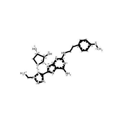 CCn1nnc(-c2nc3c(N)nc(NCCc4ccc(OC)cc4)nc3n2[C@@H]2OC[C@H](O)[C@H]2O)n1